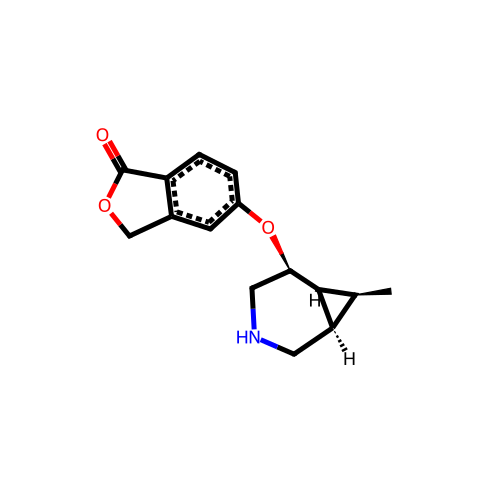 C[C@H]1[C@H]2CNC[C@@H](Oc3ccc4c(c3)COC4=O)[C@@H]12